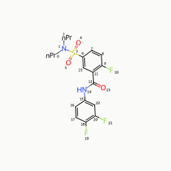 CCCN(CCC)S(=O)(=O)c1ccc(F)c(C(=O)Nc2ccc(F)c(F)c2)c1